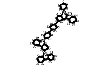 c1ccc(-n2c3ccc(-c4ccc(-c5ccc(-n6c7ccccc7c7cc(-n8c9ccccc9c9ccccc98)ccc76)cc5)cc4)cc3c3c4ccccc4oc32)cc1